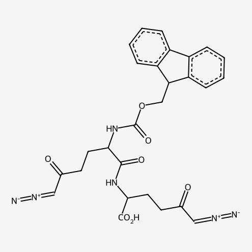 [N-]=[N+]=CC(=O)CCC(NC(=O)C(CCC(=O)C=[N+]=[N-])NC(=O)OCC1c2ccccc2-c2ccccc21)C(=O)O